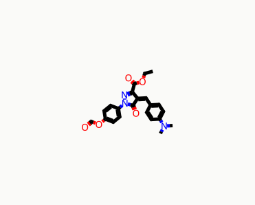 CCOC(=O)C1=NN(c2ccc(OC=O)cc2)C(=O)C1=Cc1ccc(N(C)C)cc1